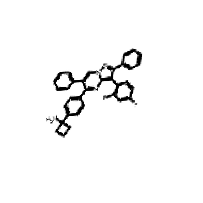 NC1(c2ccc(-c3nc4c(-c5ccc(F)cc5F)c(-c5ccccc5)nn4cc3-c3ccccc3)cc2)CCC1